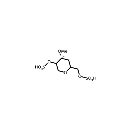 CO[C@@H]1CC(COS(=O)(=O)O)OCC1OS(=O)(=O)O